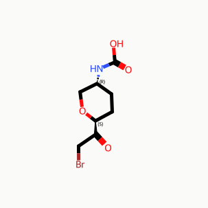 O=C(O)N[C@@H]1CC[C@@H](C(=O)CBr)OC1